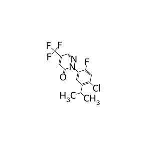 CC(C)c1cc(-n2ncc(C(F)(F)F)cc2=O)c(F)cc1Cl